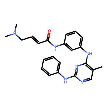 Cc1cnc(Nc2ccccc2)nc1Nc1cccc(NC(=O)C=CCN(C)C)c1